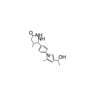 Cc1cc(C(C)O)cn1-c1ccc(C2NNC(=O)CC2C)cc1